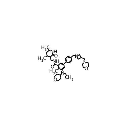 CCN(c1cc(-c2ccc(CN3CC(CN4CCOCC4)C3)cc2)cc(C(=O)NCC2C(=O)NC(C)CC2C)c1C)C1CCOCC1